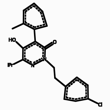 Cc1ccccc1-c1c(O)c(C(C)C)nn(CCc2ccc(Cl)cc2)c1=O